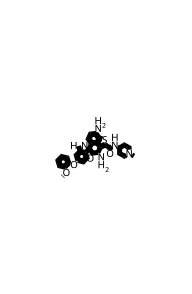 COc1ccccc1Oc1ccc(C2(N)C(=O)C(N)c3c(C(=O)NC4CCN(C)CC4)sc4c(N)ccc2c34)c(C)c1